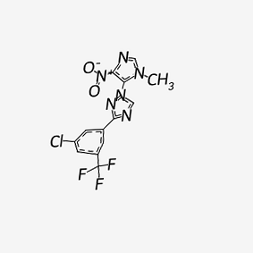 Cn1cnc([N+](=O)[O-])c1-n1cnc(-c2cc(Cl)cc(C(F)(F)F)c2)n1